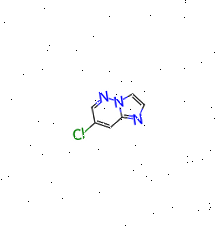 Clc1cnn2ccnc2c1